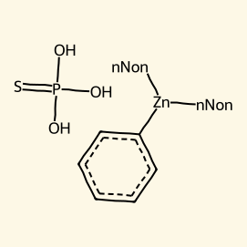 CCCCCCCC[CH2][Zn]([CH2]CCCCCCCC)[c]1ccccc1.OP(O)(O)=S